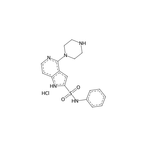 Cl.O=S(=O)(Nc1ccccc1)c1cc2c(N3CCNCC3)nccc2[nH]1